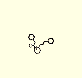 O=C(Cc1ccccc1)N1CCCCC1C/C=C/c1ccccc1